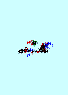 Cc1cc(OCCCC(=O)NCCNC(=O)OCc2ccccc2)cc(C)c1S(=O)(=O)NC(CN)C(=O)O.O=C(O)C(F)(F)F